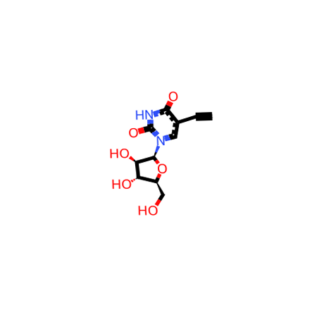 C#Cc1cn([C@H]2O[C@@H](CO)[C@H](O)[C@H]2O)c(=O)[nH]c1=O